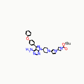 CC(C)(C)OC(=O)N1CC(n2ccc(N3CCC(n4nc(-c5ccc(Oc6ccccc6)cc5)c5c(N)ncnc54)CC3)c2)C1